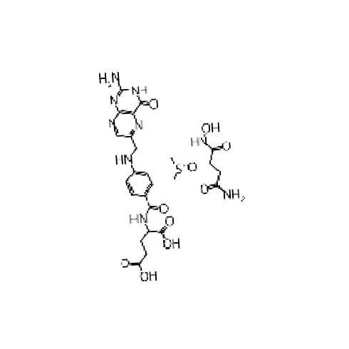 C[S+](C)[O-].NC(=O)CCC(=O)NO.Nc1nc2ncc(CNc3ccc(C(=O)NC(CCC(=O)O)C(=O)O)cc3)nc2c(=O)[nH]1